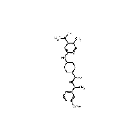 COc1cccc([C@H](C)NC(=O)C2CCC(Nc3ncc(C)c(N(C)C)n3)CC2)c1